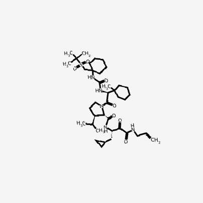 C=CCNC(=O)C(=O)[C@H](CC1CC1)NC(=O)[C@@H]1[C@@H](C(C)C)CCN1C(=O)[C@@H](NC(=O)NC1(CS(=O)(=O)C(C)(C)C)CCCCC1)C1(C)CCCCC1